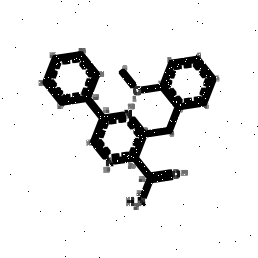 COc1ccccc1Cc1nc(-c2ccccc2)cnc1C(N)=O